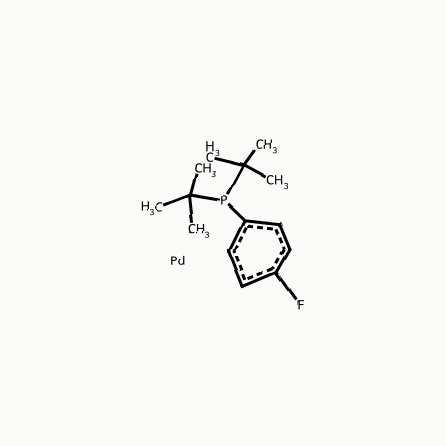 CC(C)(C)P(c1ccc(F)cc1)C(C)(C)C.[Pd]